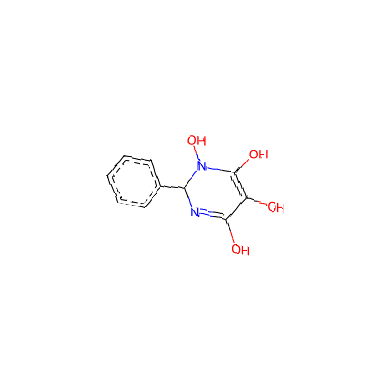 OC1=NC(c2ccccc2)N(O)C(O)=C1O